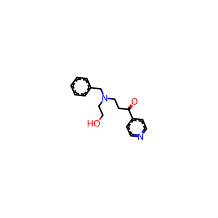 O=C(CCN(CCO)Cc1ccccc1)c1ccncc1